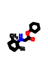 CCc1cccc(C)c1NCC(=O)OC1CCCCC1